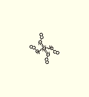 C(=Cc1nc(C=Cc2cc(-c3ccc4ccccc4c3)ccn2)c(C=Cc2cc(-c3ccc4ccccc4c3)ccn2)nc1C=Cc1cc(-c2ccc3ccccc3c2)ccn1)c1cc(-c2ccc3ccccc3c2)ccn1